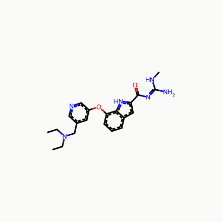 CCN(CC)Cc1cncc(Oc2cccc3cc(C(=O)N=C(N)NC)[nH]c23)c1